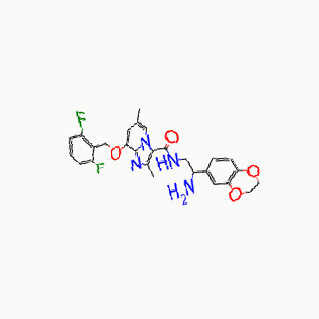 Cc1cc(OCc2c(F)cccc2F)c2nc(C)c(C(=O)NCC(N)c3ccc4c(c3)OCCO4)n2c1